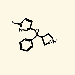 Fc1ccc(OC(c2ccccc2)C2CCNC2)cn1